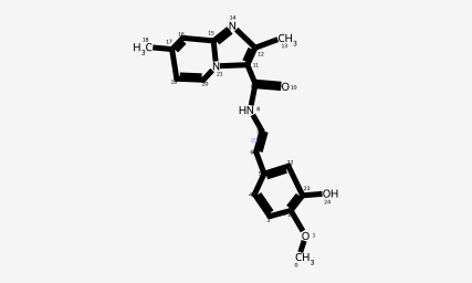 COc1ccc(/C=C/NC(=O)c2c(C)nc3cc(C)ccn23)cc1O